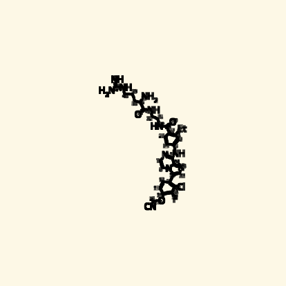 CCc1cc(Nc2nccn3c(-c4ccc(OCC#N)c(F)c4Cl)cnc23)ccc1C(=O)NCCNC(=O)C(N)CCCNC(=N)N